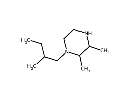 CCC(C)CN1CCNC(C)C1C